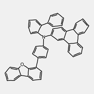 c1ccc(-c2ccccc2N(c2ccc(-c3cccc4c3oc3ccccc34)cc2)c2ccc3c4ccccc4c4ccccc4c3c2)cc1